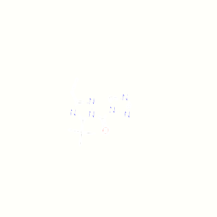 CCc1nc(C(C)(C)C)n(C(=O)n2cncn2)n1